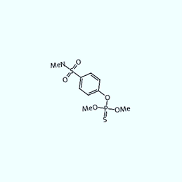 CNS(=O)(=O)c1ccc(OP(=S)(OC)OC)cc1